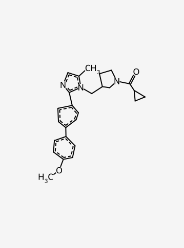 COc1ccc(-c2ccc(-c3ncc(C)n3CC3CCN(C(=O)C4CC4)C3)cc2)cc1